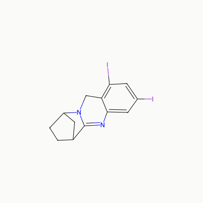 Ic1cc(I)c2c(c1)N=C1C3CCC(C3)N1C2